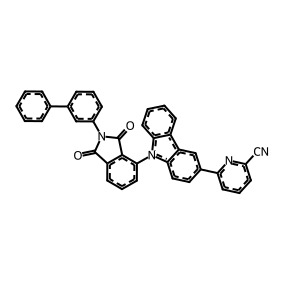 N#Cc1cccc(-c2ccc3c(c2)c2ccccc2n3-c2cccc3c2C(=O)N(c2cccc(-c4ccccc4)c2)C3=O)n1